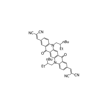 CCCCC(CC)Cn1c2ccc(C=C(C#N)C#N)cc2c(=O)c2cc3c(cc21)c(=O)c1cc(C=C(C#N)C#N)ccc1n3CC(CC)CCCC